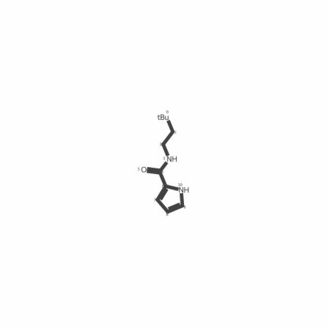 CC(C)(C)CCNC(=O)c1ccc[nH]1